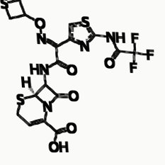 O=C(O)C1=CCS[C@H]2C(NC(=O)C(=NOC3CSC3)c3csc(NC(=O)C(F)(F)F)n3)C(=O)N12